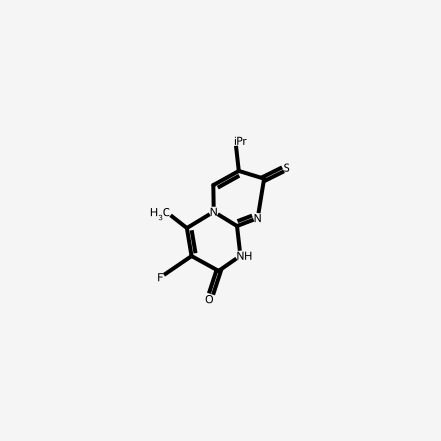 Cc1c(F)c(=O)[nH]c2nc(=S)c(C(C)C)cn12